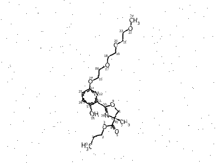 CCCOC(=O)[C@@]1(C)COC(c2nc(OCCOCCOCCOC)ccc2O)=N1